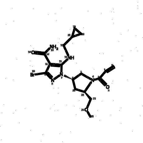 C=CC(=O)N1C[C@@H](n2nc(Br)c(C(N)=O)c2NCC2CC2)C[C@@H]1COC